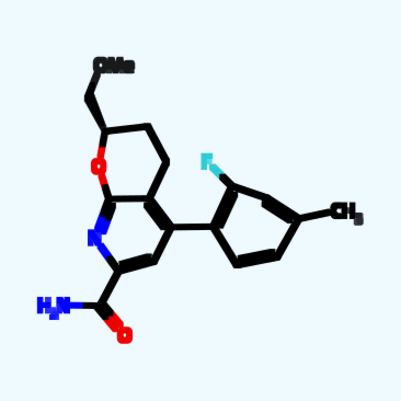 COC[C@H]1CCc2c(-c3ccc(C)cc3F)cc(C(N)=O)nc2O1